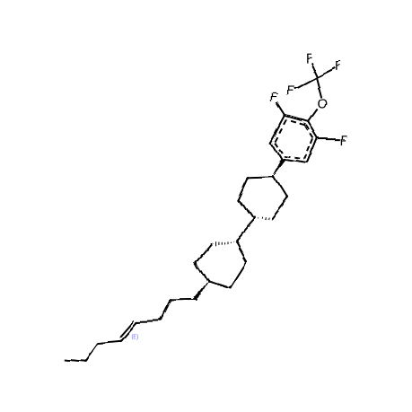 CCC/C=C/CCC[C@H]1CC[C@H]([C@H]2CC[C@H](c3cc(F)c(OC(F)(F)F)c(F)c3)CC2)CC1